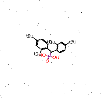 CC(C)(C)c1ccc(C(c2ccc(C(C)(C)C)cc2C(C)(C)C)P(=O)(O)O)c(C(C)(C)C)c1